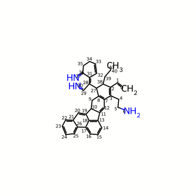 C=CC1=C(CCN)C2=C(CC3C(=C2)c2cccc4c2c3cc2ccccc24)C(/C(C=N)=C2\C=CCCC2=N)C1CCC